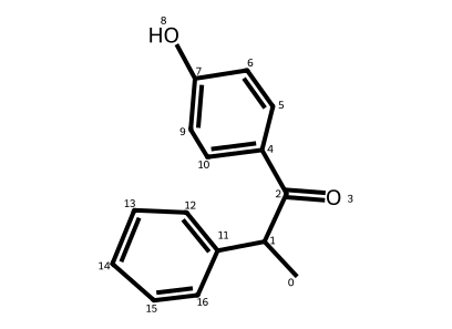 CC(C(=O)c1ccc(O)cc1)c1ccccc1